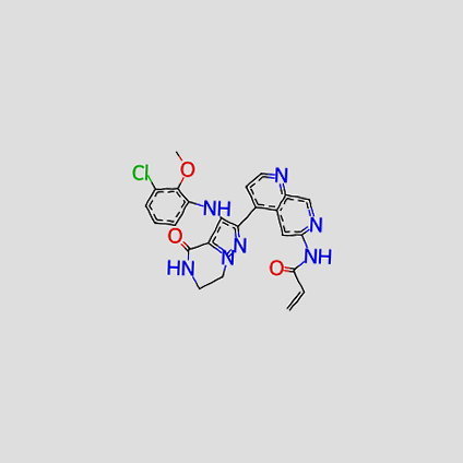 C=CC(=O)Nc1cc2c(-c3nn4c(c3Nc3cccc(Cl)c3OC)C(=O)NCC4)ccnc2cn1